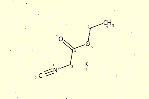 [C-]#[N+]CC(=O)OCC.[K]